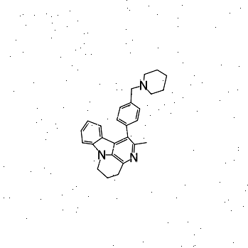 Cc1nc2c3c(c1-c1ccc(CN4CCCCC4)cc1)c1ccccc1n3CCC2